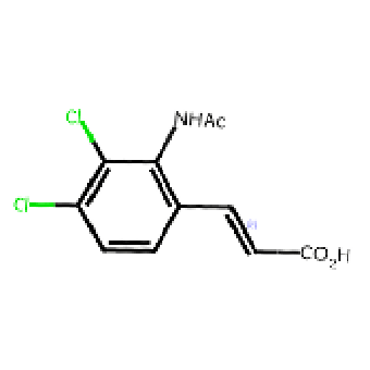 CC(=O)Nc1c(/C=C/C(=O)O)ccc(Cl)c1Cl